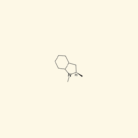 C[C@@H]1CC2CCCCC2N1C